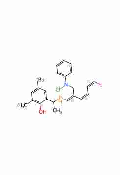 Cc1cc(C(C)(C)C)cc(C(C)P/C=C(/C=C\C=C/I)CN(Cl)c2ccccc2)c1O